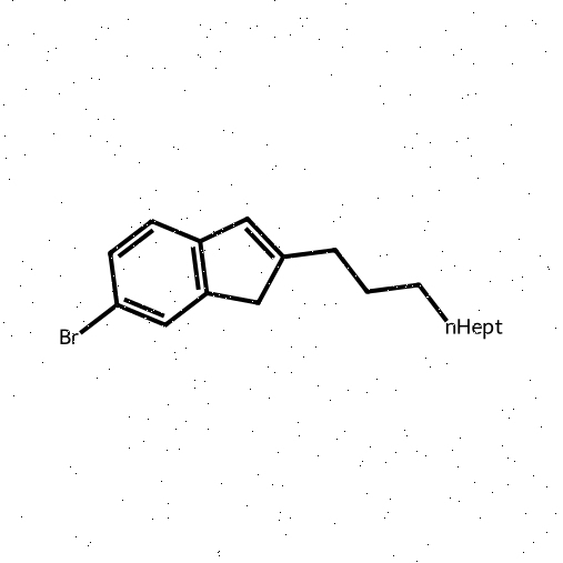 CCCCCCCCCCC1=Cc2ccc(Br)cc2C1